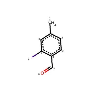 Cc1ccc(C=O)c(I)c1